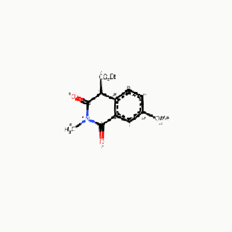 CCOC(=O)C1C(=O)N(C)C(=O)c2cc(OC)ccc21